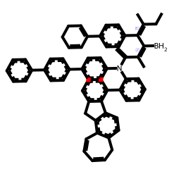 BC(=C(\C)C(=C)N(c1ccc(-c2ccc(-c3ccccc3)cc2)cc1)c1ccccc1-c1cccc2c1-c1ccc3c(c1C2)C=CC=CC3)/C(=C(/C)CC)c1ccc(C2=CCCC=C2)cc1